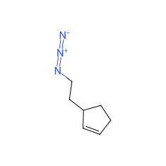 [N-]=[N+]=NCCC1C=CCC1